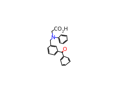 O=C(O)CN(Cc1cccc(C(=O)c2ccccc2)c1)c1ccccc1